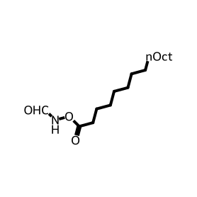 CCCCCCCCCCCCCCCC(=O)ONC=O